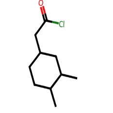 CC1CCC(CC(=O)Cl)CC1C